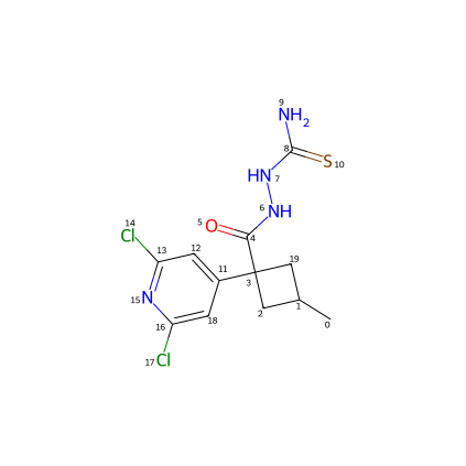 CC1CC(C(=O)NNC(N)=S)(c2cc(Cl)nc(Cl)c2)C1